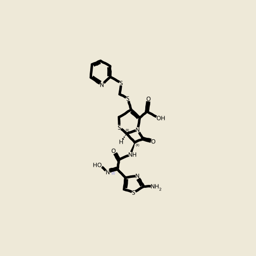 Nc1nc(/C(=N/O)C(=O)N[C@@H]2C(=O)N3C(C(=O)O)=C(SCSc4ccccn4)CS[C@H]23)cs1